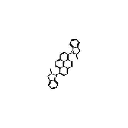 CC1Cc2ccccc2N1c1ccc2ccc3c(N4c5ccccc5CC4C)ccc4ccc1c2c43